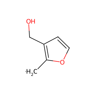 [CH2]c1occc1CO